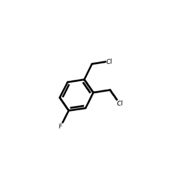 Fc1ccc(CCl)c(CCl)c1